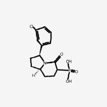 O=C1C(P(=O)(O)O)CC[C@H]2CC[C@@H](c3cccc(Cl)c3)N12